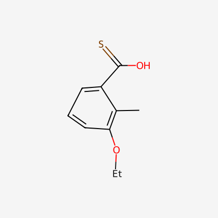 CCOc1cccc(C(O)=S)c1C